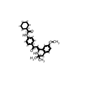 COc1ccc2c(c1)C(=CC(=O)c1ccc(NC(=O)C3CCCCC3)cc1)NC(C)(C)C2